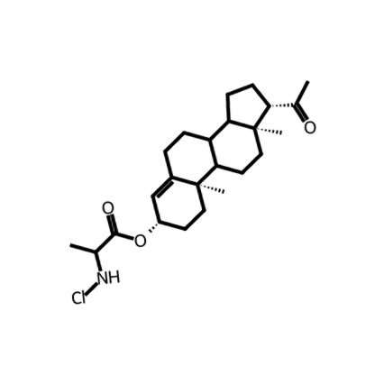 CC(=O)[C@H]1CCC2C3CCC4=C[C@@H](OC(=O)C(C)NCl)CC[C@]4(C)C3CC[C@@]21C